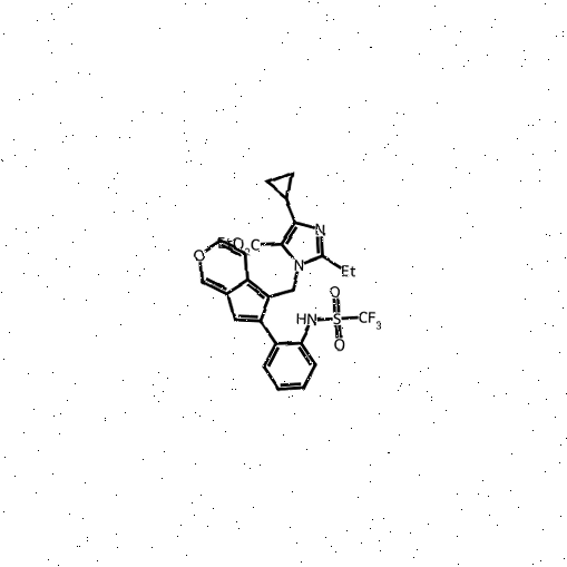 CCOC(=O)c1c(C2CC2)nc(CC)n1Cc1c2ccocc-2cc1-c1ccccc1NS(=O)(=O)C(F)(F)F